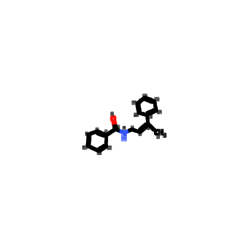 CC(=CCNC(=O)c1ccccc1)c1ccccc1